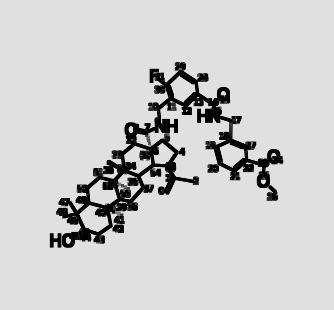 C=C(C)[C@@H]1CC[C@]2(C(=O)NCc3cc(C(=O)NCc4cccc(C(=O)OC)c4)ccc3F)CC[C@]3(C)C(CCC4[C@@]5(C)CC[C@H](O)C(C)(C)C5CC[C@]43C)C12